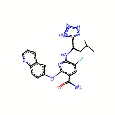 CC(C)CC(Nc1nc(Nc2ccc3ncccc3c2)c(C(N)=O)cc1F)c1nnn[nH]1